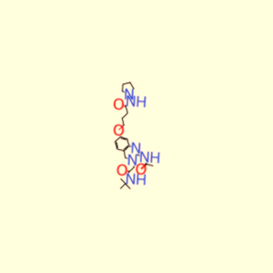 CC(=O)NC1=Nc2cc(OCCCC(=O)NN3CCCC3)ccc2CN1CC(=O)NC(C)(C)C